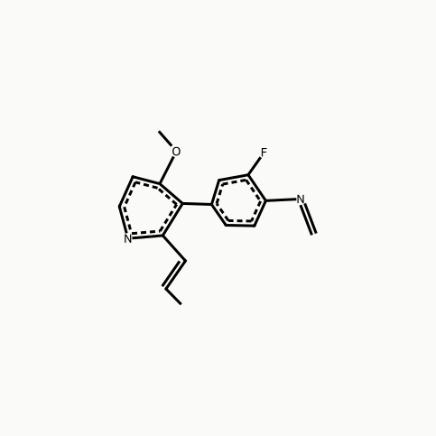 C=Nc1ccc(-c2c(OC)ccnc2/C=C/C)cc1F